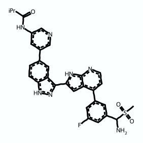 CC(C)C(=O)Nc1cncc(-c2ccc3[nH]nc(-c4cc5c(-c6cc(F)cc(C(N)S(C)(=O)=O)c6)ccnc5[nH]4)c3c2)c1